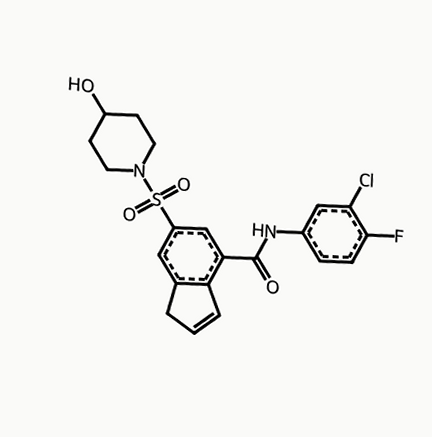 O=C(Nc1ccc(F)c(Cl)c1)c1cc(S(=O)(=O)N2CCC(O)CC2)cc2c1C=CC2